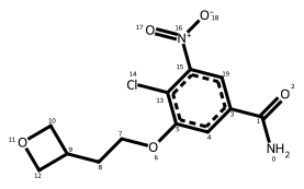 NC(=O)c1cc(OCCC2COC2)c(Cl)c([N+](=O)[O-])c1